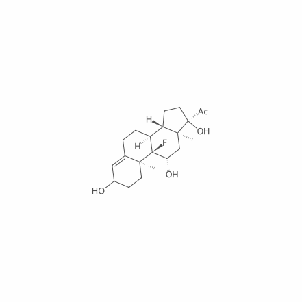 CC(=O)[C@@]1(O)CC[C@H]2[C@@H]3CCC4=CC(O)CC[C@]4(C)[C@@]3(F)[C@@H](O)C[C@@]21C